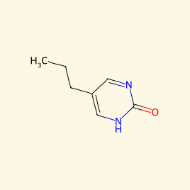 CCCc1cnc(=O)[nH]c1